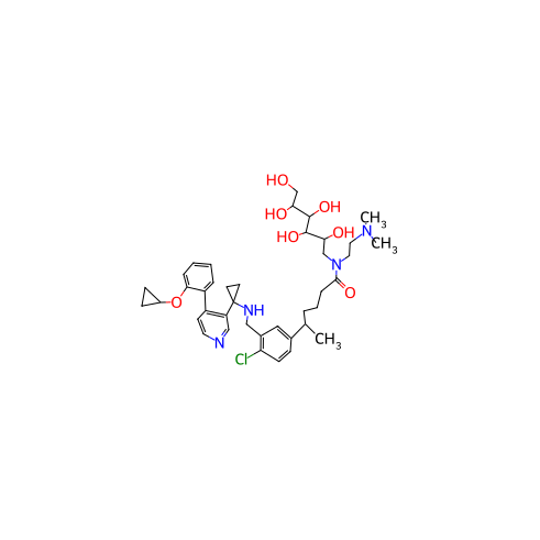 CC(CCCC(=O)N(CCN(C)C)CC(O)C(O)C(O)C(O)CO)c1ccc(Cl)c(CNC2(c3cnccc3-c3ccccc3OC3CC3)CC2)c1